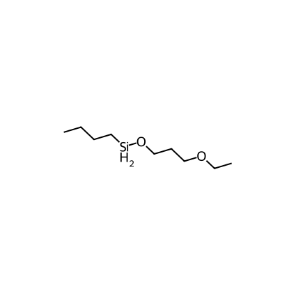 CCCC[SiH2]OCCCOCC